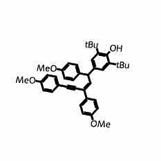 COc1ccc(C#CC(=CC(c2ccc(OC)cc2)c2cc(C(C)(C)C)c(O)c(C(C)(C)C)c2)c2ccc(OC)cc2)cc1